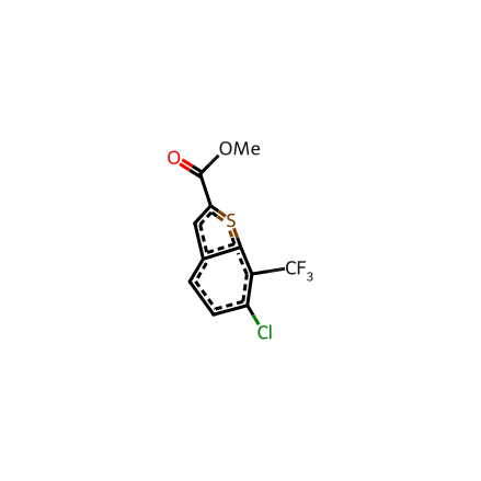 COC(=O)c1cc2ccc(Cl)c(C(F)(F)F)c2s1